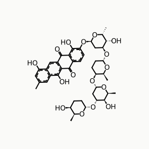 Cc1cc(O)c2cc3c(c(O)c2c1)C(=O)c1ccc(O[C@@H]2C[C@H](O[C@H]4CC[C@H](O[C@H]5C[C@@H](O[C@H]6CC[C@H](O)[C@H](C)O6)[C@H](O)[C@H](C)O5)[C@H](C)O4)[C@@H](O)[C@@H](C)O2)c(O)c1C3=O